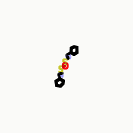 C(=C\c1ccccc1)/SOS/C=C/c1ccccc1